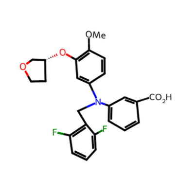 COc1ccc(N(Cc2c(F)cccc2F)c2cccc(C(=O)O)c2)cc1O[C@@H]1CCOC1